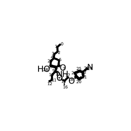 CCCCC1CC(=O)C(C(CCC)NO[C@H](C)COc2ccc(C#N)cc2)=C(O)C1